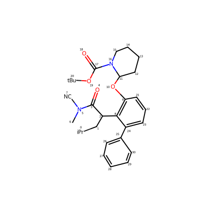 CC(C)CC(C(=O)N(C)C#N)c1c(OC2CCCCN2C(=O)OC(C)(C)C)cccc1-c1ccccc1